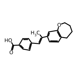 CC(=Cc1ccc(C(=O)O)cc1)c1ccc2c(c1)OCCCC2